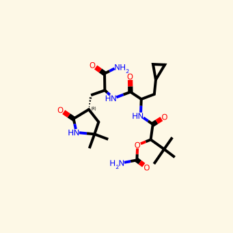 CC1(C)C[C@@H](CC(NC(=O)C(CC2CC2)NC(=O)C(OC(N)=O)C(C)(C)C)C(N)=O)C(=O)N1